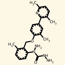 Cc1ccc(C)c(-c2ccc(OCc3c(C)cccc3N(N)C(=O)NN)c(C)c2)n1